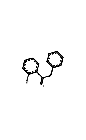 C=C(Cc1ccccc1)c1ccccc1C(C)C